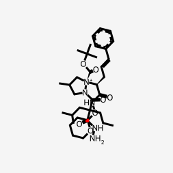 CCCC(CC(C)C)(C(=O)NN)C(=O)N1CC(C)C[N@+]1(C(=O)OC(C)(C)C)[C@@H](C/C=C/c1ccccc1)C(=O)NOC1CCCCO1